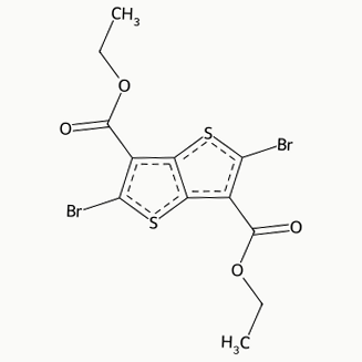 CCOC(=O)c1c(Br)sc2c(C(=O)OCC)c(Br)sc12